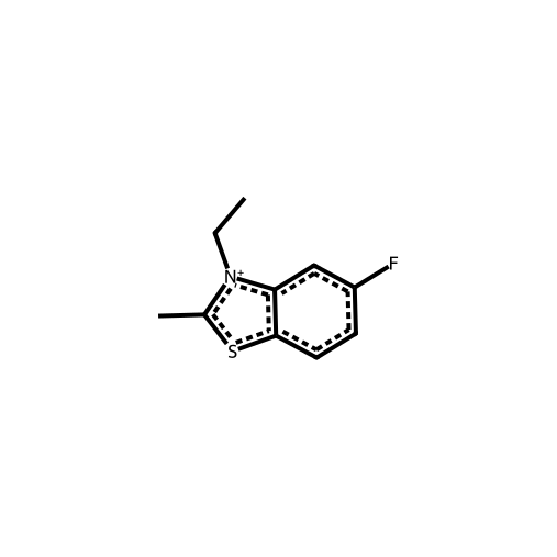 CC[n+]1c(C)sc2ccc(F)cc21